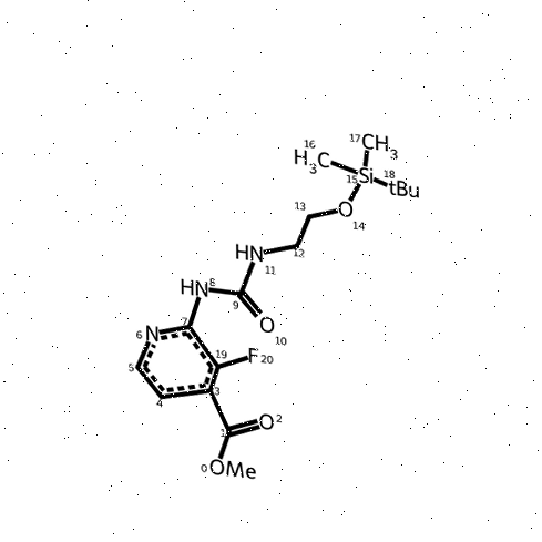 COC(=O)c1ccnc(NC(=O)NCCO[Si](C)(C)C(C)(C)C)c1F